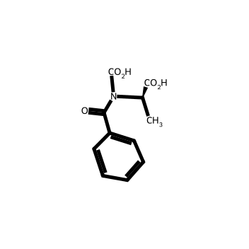 C[C@H](C(=O)O)N(C(=O)O)C(=O)c1ccccc1